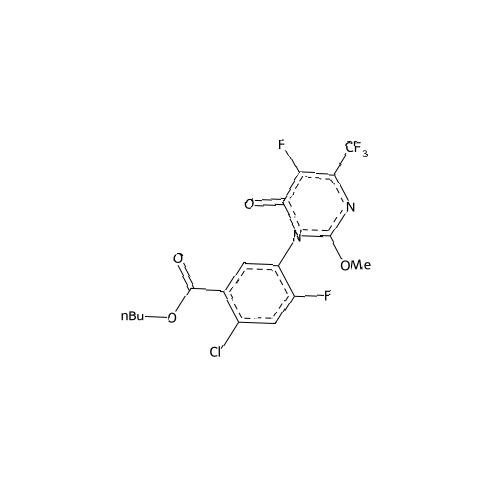 CCCCOC(=O)c1cc(-n2c(OC)nc(C(F)(F)F)c(F)c2=O)c(F)cc1Cl